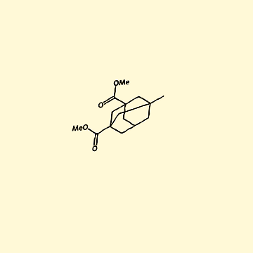 COC(=O)C12CC3CC(C)(C1)CC(C(=O)OC)(C3)C2